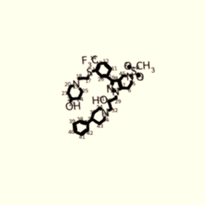 CS(=O)(=O)N1CCc2c(c(-c3ccc(C(F)(F)F)c(SCCN4CCC(O)CC4)c3)nn2CC(O)CN2CCC(c3ccccc3)CC2)C1